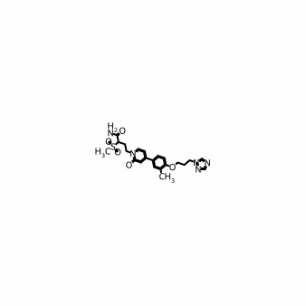 Cc1cc(-c2ccn(CCC(C(N)=O)S(C)(=O)=O)c(=O)c2)ccc1OCCCn1cncn1